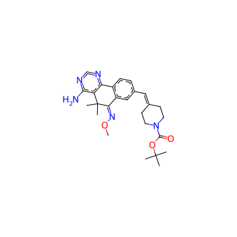 CON=C1c2cc(C=C3CCN(C(=O)OC(C)(C)C)CC3)ccc2-c2ncnc(N)c2C1(C)C